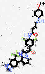 COC1CCC(NC/C=C/C(=O)Nc2c(F)cc(C(=O)c3cnc4c(-c5cc6ncn(C)c6cc5C(F)(F)F)cccn34)cc2F)CC1